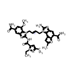 CCn1nc(C)cc1C(=O)Nc1nc2cc(C(N)=O)cc(OC)c2n1C/C=C/Cn1c(N)nc2cc(C(N)=O)c3oc(C)cc3c21